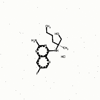 CCCC[C@@](C)(CO)Nc1nc(N)nc2cc(F)cnc12.Cl